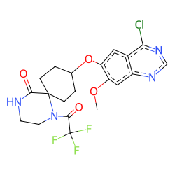 COc1cc2ncnc(Cl)c2cc1OC1CCC2(CC1)C(=O)NCCN2C(=O)C(F)(F)F